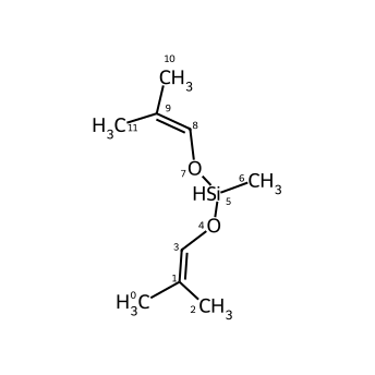 CC(C)=CO[SiH](C)OC=C(C)C